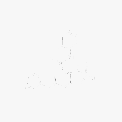 CS(=O)(=O)Nc1ccc(Cc2ccccc2)cc1C(=O)Nc1ccccc1